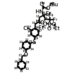 CCOP(=O)(OCC)C(F)(F)C(O)C(CC)(CCCc1ccc(Sc2cccc(OCc3ccccc3)c2)cc1Cl)NC(=O)OC(C)(C)C